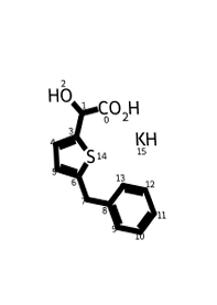 O=C(O)C(O)c1ccc(Cc2ccccc2)s1.[KH]